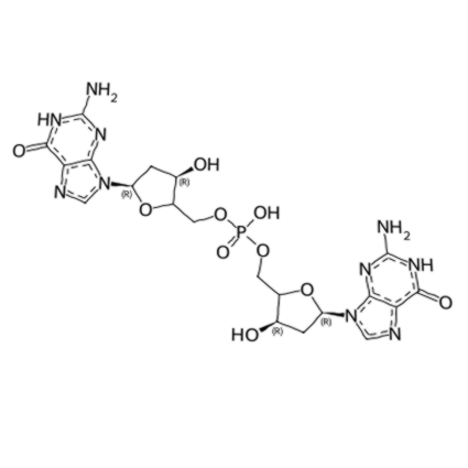 Nc1nc2c(ncn2[C@H]2C[C@@H](O)C(COP(=O)(O)OCC3O[C@@H](n4cnc5c(=O)[nH]c(N)nc54)C[C@H]3O)O2)c(=O)[nH]1